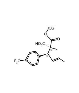 CC=C[C@@H](c1ccc(C(F)(F)F)cc1)[C@@](C)(C(=O)O)C(=O)OC(C)(C)C